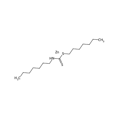 CCCCCCCNC(=S)SCCCCCCC.[Zn]